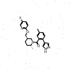 Cc1ccc(-c2cn[nH]c2)c(C(=O)N2C[C@H](COc3ccc(F)cn3)CC[C@H]2C)c1